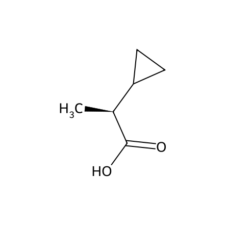 C[C@H](C(=O)O)C1CC1